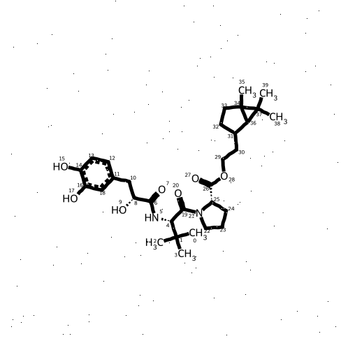 CC(C)(C)[C@H](NC(=O)[C@H](O)Cc1ccc(O)c(O)c1)C(=O)N1CCC[C@H]1C(=O)OCCC1CCC2(C)C1C2(C)C